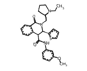 CCN1CCCC1CN1C(=O)c2ccccc2C(C(=O)Nc2cccc(OC)c2)C1c1cccs1